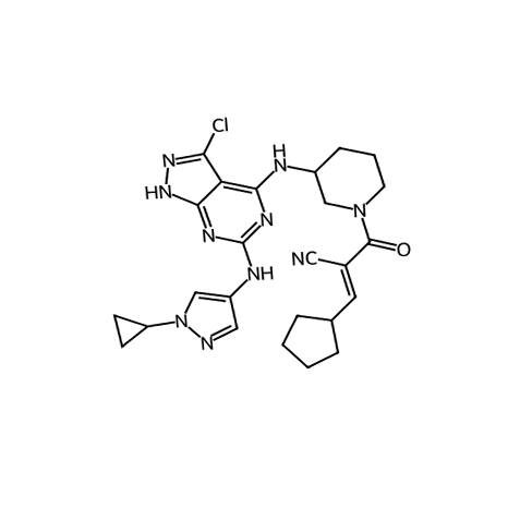 N#C/C(=C\C1CCCC1)C(=O)N1CCCC(Nc2nc(Nc3cnn(C4CC4)c3)nc3[nH]nc(Cl)c23)C1